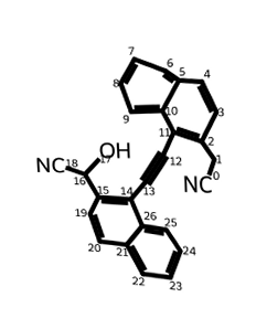 N#CCc1ccc2ccccc2c1C#Cc1c(C(O)C#N)ccc2ccccc12